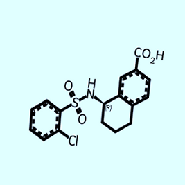 O=C(O)c1ccc2c(c1)[C@H](NS(=O)(=O)c1ccccc1Cl)CCC2